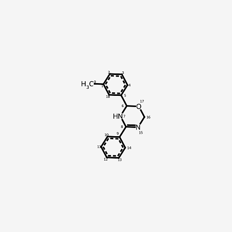 Cc1cccc(C2NC(c3ccccc3)=NCO2)c1